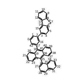 c1cc(-c2ccc3sc4ccccc4c3c2)cc(-c2c3ccccc3c(-c3cccc4ccccc34)c3ccccc23)c1